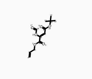 C=CCOC(=O)C(=CC(=O)OC(C)(C)C)O[C]=O